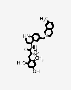 Cc1ccc2c(c1)CN(Cc1ccc3c(c1)[C@H](NC(=O)[C@@H](N)Cc1c(C)cc(O)cc1C)CCN3)CC2